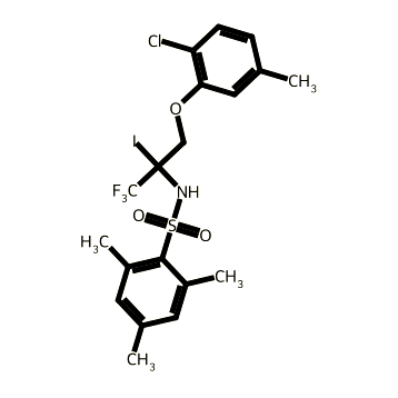 Cc1cc(C)c(S(=O)(=O)NC(I)(COc2cc(C)ccc2Cl)C(F)(F)F)c(C)c1